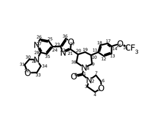 O=C(N1CCOCC1)N1CC(c2ccc(OC(F)(F)F)cc2)CC(c2nc(-c3ccnc(N4CCOCC4)c3)co2)C1